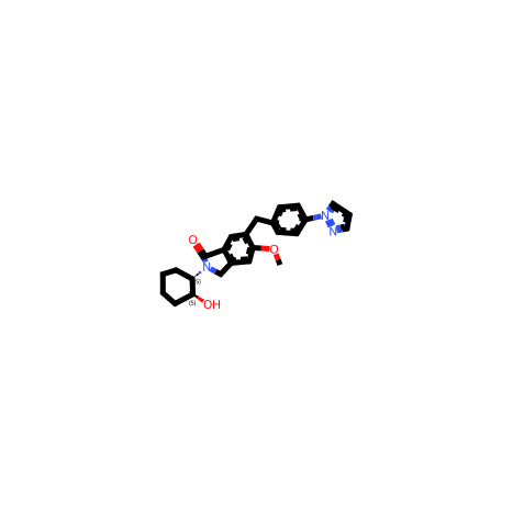 COc1cc2c(cc1Cc1ccc(-n3cccn3)cc1)C(=O)N([C@H]1CCCC[C@@H]1O)C2